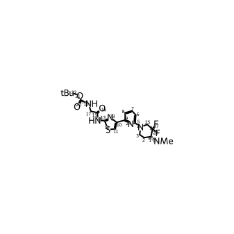 CN[C@@H]1CCN(c2cccc(-c3csc(NC(=O)CNC(=O)OC(C)(C)C)n3)n2)CC1(F)F